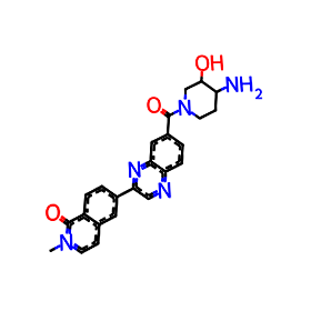 Cn1ccc2cc(-c3cnc4ccc(C(=O)N5CCC(N)C(O)C5)cc4n3)ccc2c1=O